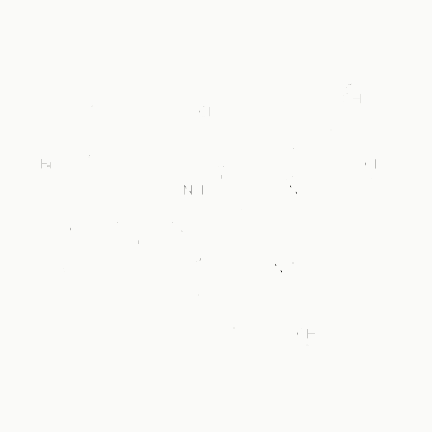 COCc1c(Br)ccc(C)c1NC(=O)c1ccc(C)nc1C(=O)NCC(C)C